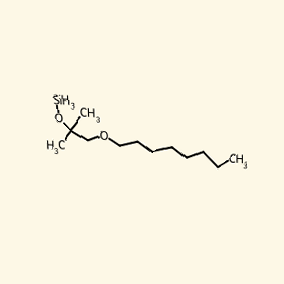 CCCCCCCCOCC(C)(C)O[SiH3]